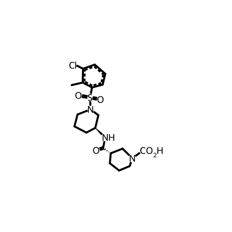 Cc1c(Cl)cccc1S(=O)(=O)N1CCC[C@H](NC(=O)[C@H]2CCCN(C(=O)O)C2)C1